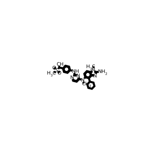 CC(c1ccc(Nc2nccc(N(C)c3ccc4c(nc(N)n4C)c3C3CCCCC3)n2)cc1)S(C)(=O)=O